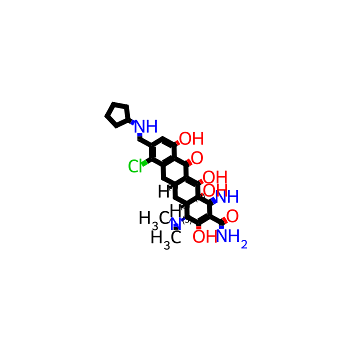 CN(C)[C@@H]1C(O)=C(C(N)=O)C(=N)[C@@]2(O)C(O)=C3C(=O)c4c(O)cc(CNC5CCCC5)c(Cl)c4C[C@H]3C[C@@H]12